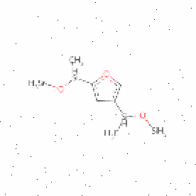 C[SiH](O[SiH3])c1coc([SiH](C)O[SiH3])c1